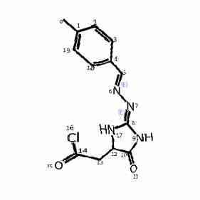 Cc1ccc(/C=N/N=C2/NC(=O)C(CC(=O)Cl)N2)cc1